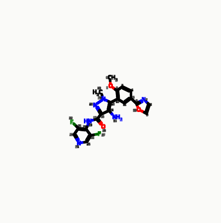 COc1ccc(-c2ncco2)cc1-c1c(N)c(C(=O)Nc2c(F)cncc2F)nn1C